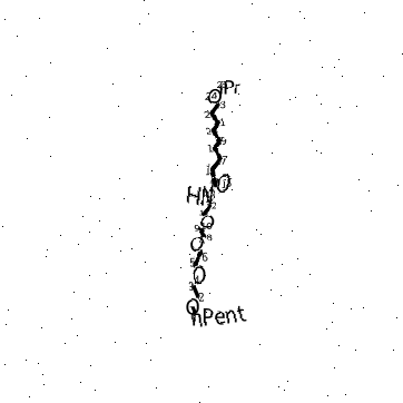 CCCCCOCCOCCOCCOCCNC(=O)CCCCCCCCOC(C)C